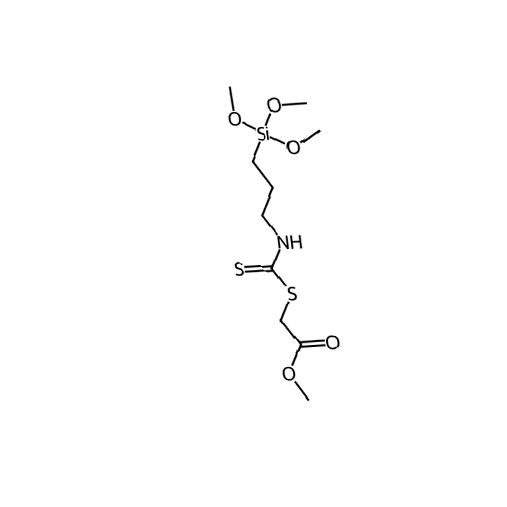 COC(=O)CSC(=S)NCCC[Si](OC)(OC)OC